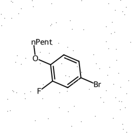 CCCCCOc1ccc(Br)cc1F